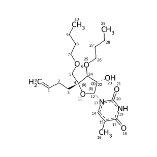 C=CCC[C@]1(COCCCC)O[C@@H](n2cc(C)c(=O)[nH]c2=O)[C@@H](O)C1OCCCC